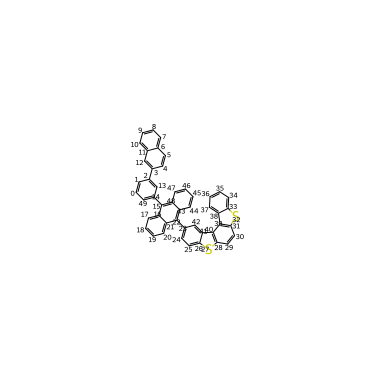 c1cc(-c2ccc3ccccc3c2)cc(-c2c3ccccc3c(-c3ccc4sc5ccc6sc7ccccc7c6c5c4c3)c3ccccc23)c1